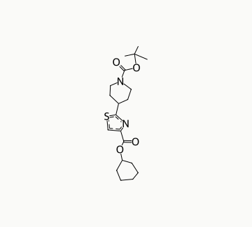 CC(C)(C)OC(=O)N1CCC(c2nc(C(=O)OC3CCCCC3)cs2)CC1